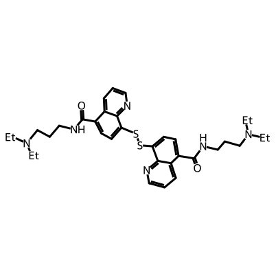 CCN(CC)CCCNC(=O)c1ccc(SSc2ccc(C(=O)NCCCN(CC)CC)c3cccnc23)c2ncccc12